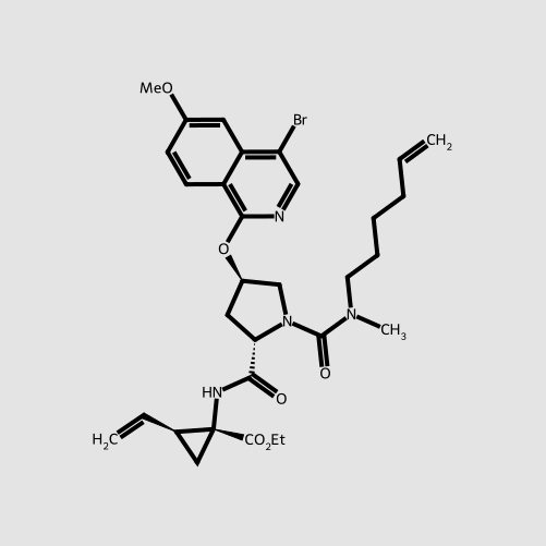 C=CCCCCN(C)C(=O)N1C[C@H](Oc2ncc(Br)c3cc(OC)ccc23)C[C@H]1C(=O)N[C@]1(C(=O)OCC)C[C@H]1C=C